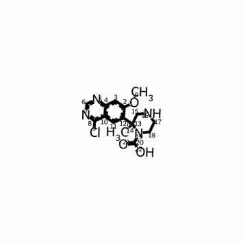 COc1cc2ncnc(Cl)c2cc1[C@]1(C)CNCCN1C(=O)O